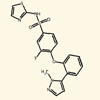 Cn1nccc1-c1ccccc1Oc1ccc(S(=O)(=O)Nc2nccs2)cc1F